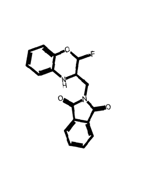 O=C1c2ccccc2C(=O)N1CC1Nc2ccccc2OC1F